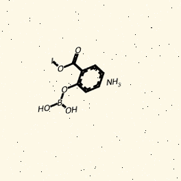 N.O=C(OI)c1ccccc1OB(O)O